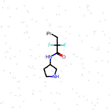 CC(C)CC(F)(F)C(=O)NC1CCNC1